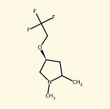 CC1C[C@H](OCC(F)(F)F)CN1C